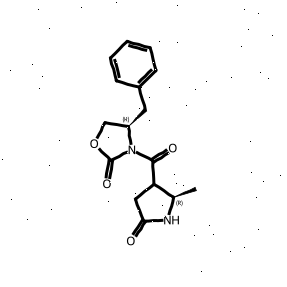 C[C@H]1NC(=O)CC1C(=O)N1C(=O)OC[C@H]1Cc1ccccc1